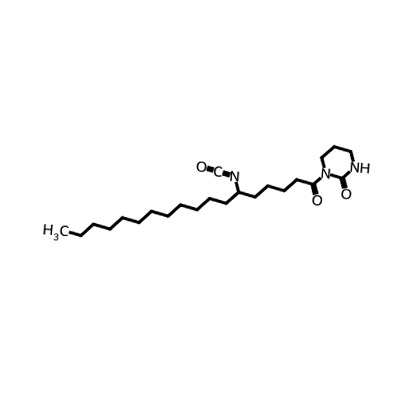 CCCCCCCCCCCCC(CCCCC(=O)N1CCCNC1=O)N=C=O